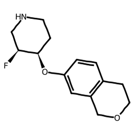 F[C@H]1CNCC[C@H]1Oc1ccc2c(c1)COCC2